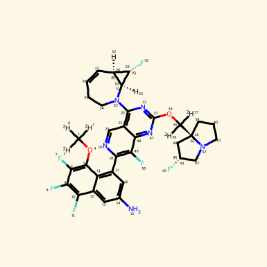 [2H]C([2H])([2H])Oc1c(F)c(F)c(F)c2cc(N)cc(-c3ncc4c(N5CCC=C[C@H]6[C@H](F)[C@H]65)nc(OC([2H])([2H])[C@@]56CCCN5C[C@H](F)C6)nc4c3F)c12